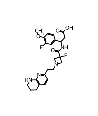 COc1ccc(C(CC(=O)O)NC(=O)C2(F)CN(CCc3ccc4c(n3)NCCC4)C2)cc1F